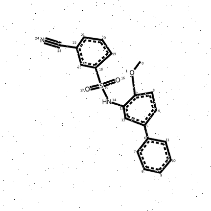 COc1ccc(-c2ccccc2)cc1NS(=O)(=O)c1cccc(C#N)c1